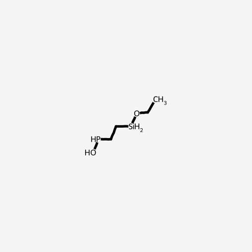 CCO[SiH2]CCPO